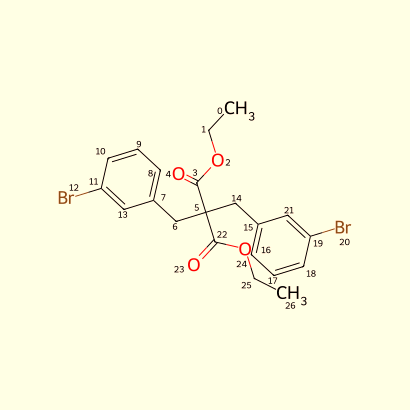 CCOC(=O)C(Cc1cccc(Br)c1)(Cc1cccc(Br)c1)C(=O)OCC